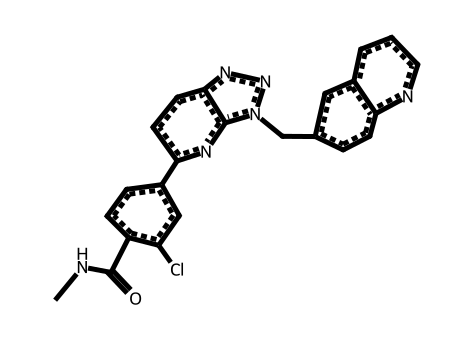 CNC(=O)c1ccc(-c2ccc3nnn(Cc4ccc5ncccc5c4)c3n2)cc1Cl